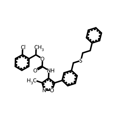 Cc1noc(-c2cccc(CSCCc3ccccc3)c2)c1NC(=O)OC(C)c1ccccc1Cl